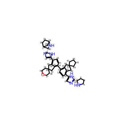 c1nc([C@@H]2CCCN2)[nH]c1-c1ccc(-c2ccc(-c3cnc([C@H]4NC5CCC4C5)[nH]3)c3c2CC2(CCOCC2)C3)c2c1CC1(CCCC1)C2